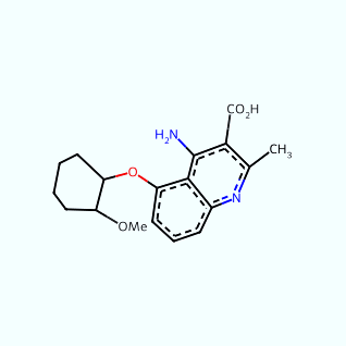 COC1CCCCC1Oc1cccc2nc(C)c(C(=O)O)c(N)c12